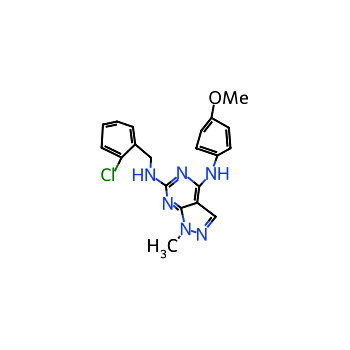 COc1ccc(Nc2nc(NCc3ccccc3Cl)nc3c2cnn3C)cc1